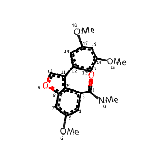 CNC(=O)c1cc(OC)cc2occ(-c3cc(OC)cc(OC)c3)c12